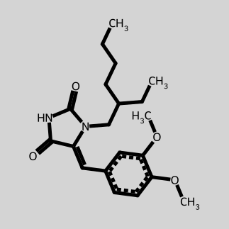 CCCCC(CC)CN1C(=O)NC(=O)C1=Cc1ccc(OC)c(OC)c1